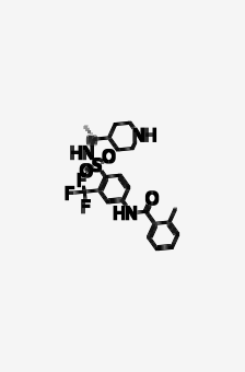 Cc1ccccc1C(=O)Nc1ccc(S(=O)(=O)N[C@H](C)C2CCNCC2)c(C(F)(F)F)c1